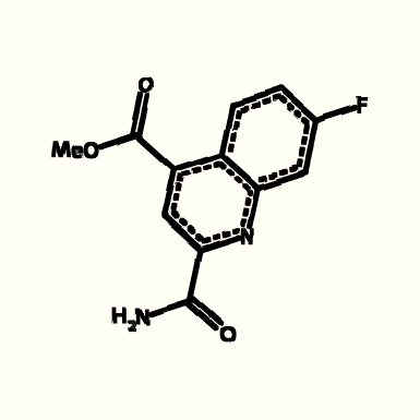 COC(=O)c1cc(C(N)=O)nc2cc(F)ccc12